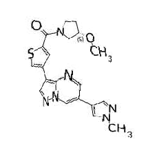 CO[C@H]1CCN(C(=O)c2cc(-c3cnn4cc(-c5cnn(C)c5)cnc34)cs2)C1